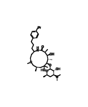 CC(C)c1ccc(CCCC2CCN(C)C[C@H](C)CC(C)(O)[C@H](OC3O[C@H](C)C[C@H](N(C)C)[C@H]3O)[C@@H](C)[C@H](O)C(C)C(=O)N2)cc1